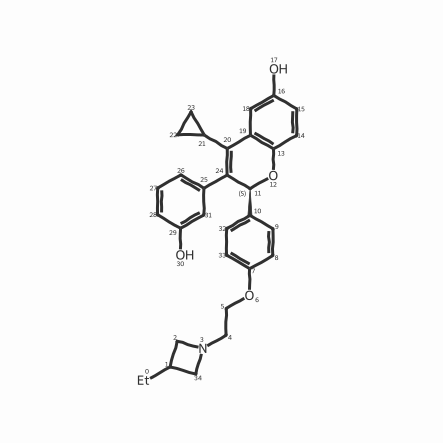 CCC1CN(CCOc2ccc([C@@H]3Oc4ccc(O)cc4C(C4CC4)=C3c3cccc(O)c3)cc2)C1